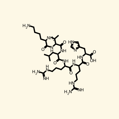 CC(C)CC(NC(=O)C(NC(=O)C(N)CCCCN)C(C)C)C(=O)NC(CCCNC(=N)N)C(=O)NC(CCCNC(=N)N)C(=O)NC(Cc1c[nH]cn1)C(=O)O